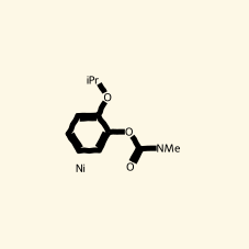 CNC(=O)Oc1ccccc1OC(C)C.[Ni]